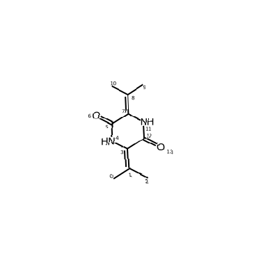 CC(C)=c1[nH]c(=O)c(=C(C)C)[nH]c1=O